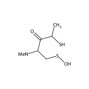 CNC(CSO)C(=O)C(C)S